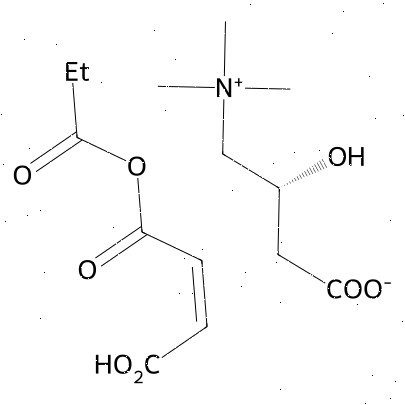 CCC(=O)OC(=O)/C=C\C(=O)O.C[N+](C)(C)C[C@H](O)CC(=O)[O-]